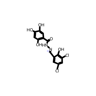 O=C(N/N=C/c1cc(Cl)cc(Cl)c1O)c1cc(O)c(O)cc1O